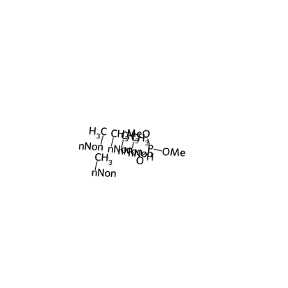 CCCCCCCCCC.CCCCCCCCCC.CCCCCCCCCC.CCCCCCCCCC.CCCCCCCCCC.CO[PH](=O)OC